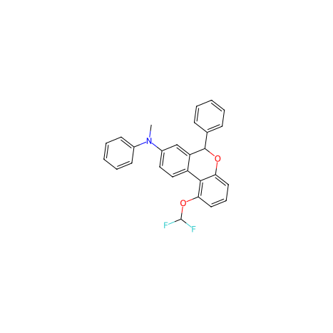 CN(c1ccccc1)c1ccc2c(c1)C(c1ccccc1)Oc1cccc(OC(F)F)c1-2